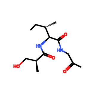 CC[C@H](C)[C@H](NC(=O)[C@@H](C)CO)C(=O)NCC(C)=O